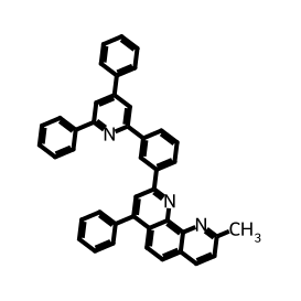 Cc1ccc2ccc3c(-c4ccccc4)cc(-c4cccc(-c5cc(-c6ccccc6)cc(-c6ccccc6)n5)c4)nc3c2n1